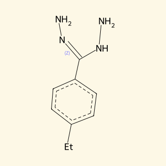 CCc1ccc(/C(=N/N)NN)cc1